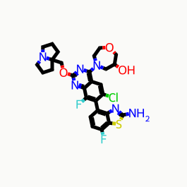 Nc1nc2c(-c3c(Cl)cc4c(N5CCOCC(O)C5)nc(OCC56CCCN5CCC6)nc4c3F)ccc(F)c2s1